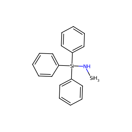 [SiH3]N[Si](c1ccccc1)(c1ccccc1)c1ccccc1